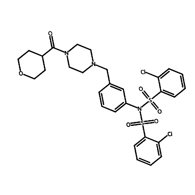 O=C(C1CCOCC1)N1CCN(Cc2cccc(N(S(=O)(=O)c3ccccc3Cl)S(=O)(=O)c3ccccc3Cl)c2)CC1